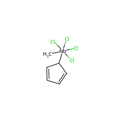 [CH3][Nb]([Cl])([Cl])([Cl])([Cl])[CH]1C=CC=C1